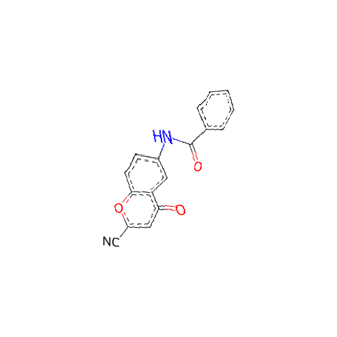 N#Cc1cc(=O)c2cc(NC(=O)c3ccccc3)ccc2o1